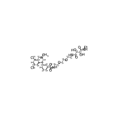 CCNC(=O)C(O)C(O)C(=O)NCCOCCOCCNS(=O)(=O)c1cccc(C2CN(C)Cc3c(Cl)cc(Cl)cc32)c1